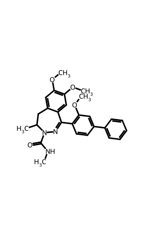 CNC(=O)N1N=C(c2ccc(-c3ccccc3)cc2OC)c2cc(OC)c(OC)cc2CC1C